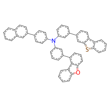 c1cc(-c2ccc3c(c2)sc2ccccc23)cc(N(c2ccc(-c3ccc4ccccc4c3)cc2)c2cccc(-c3cccc4oc5ccccc5c34)c2)c1